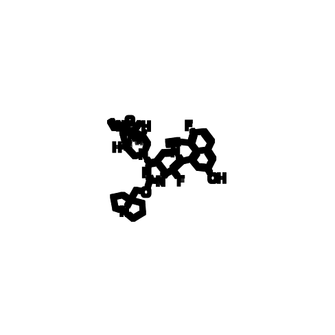 C#Cc1c(F)ccc2cc(O)cc(-c3ncc4c(N5C[C@@H]6C[C@](C)(C#N)[C@H](C5)N6C(=O)C=C)nc(OCC56CCCN5CCC6)nc4c3F)c12